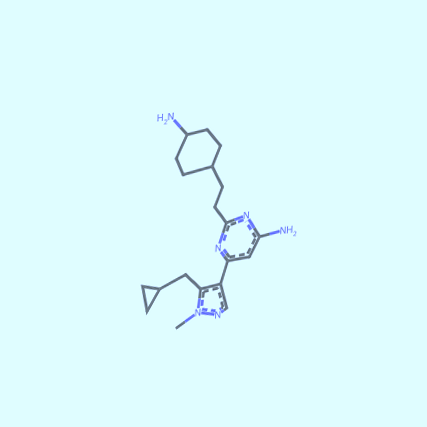 Cn1ncc(-c2cc(N)nc(CCC3CCC(N)CC3)n2)c1CC1CC1